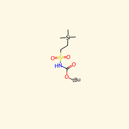 CC(C)(C)OC(=O)NS(=O)(=O)CC[Si](C)(C)C